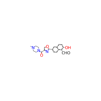 CN1CCN(C(=O)c2coc(-c3ccc4c(C=O)c(O)ccc4c3)n2)CC1